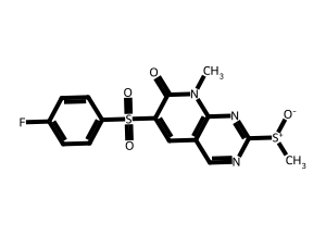 Cn1c(=O)c(S(=O)(=O)c2ccc(F)cc2)cc2cnc([S+](C)[O-])nc21